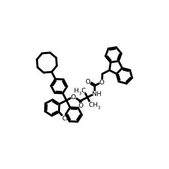 CC(C)(NC(=O)OCC1c2ccccc2-c2ccccc21)C(=O)OC(c1ccccc1)(c1ccc(C2CCCCCCC2)cc1)c1ccccc1Cl